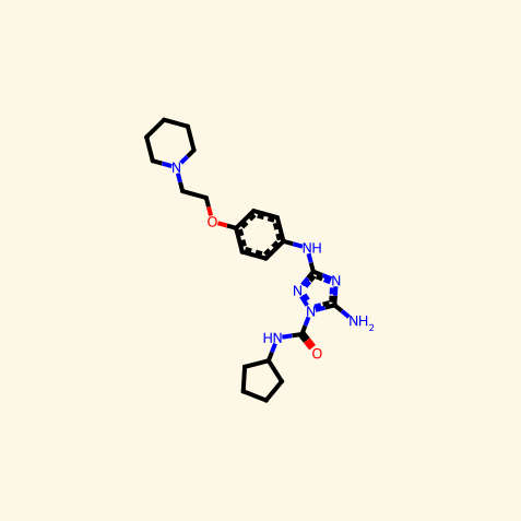 Nc1nc(Nc2ccc(OCCN3CCCCC3)cc2)nn1C(=O)NC1CCCC1